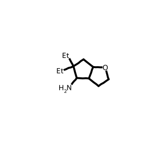 CCC1(CC)CC2OCCC2C1N